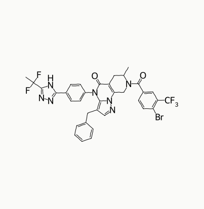 CC1Cc2c(n3ncc(Cc4ccccc4)c3n(-c3ccc(-c4nnc(C(C)(F)F)[nH]4)cc3)c2=O)CN1C(=O)c1ccc(Br)c(C(F)(F)F)c1